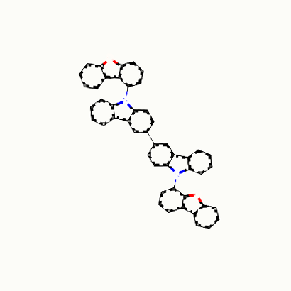 c1ccc2c(c1)oc1c(-n3c4ccccc4c4cc(-c5ccc6c(c5)c5ccccc5n6-c5cccc6oc7ccccc7c56)ccc43)cccc12